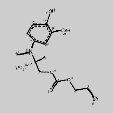 CC(C)CCOC(=O)OC[C@@](C)(C(=O)O)N(C)c1ccc(O)c(O)c1